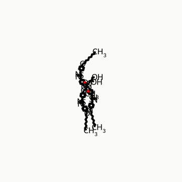 CCCCCCCCOc1ccc(-c2nnc(-c3ccc(OC(CC)C(Oc4ccc(-c5nnc(-c6ccc(OCCCCCCCC)cc6)s5)cc4)(Oc4ccc(-c5nnc(-c6ccc(OCCCCCCCC)cc6)s5)cc4)C(=O)OCC(O)CO)cc3)s2)cc1